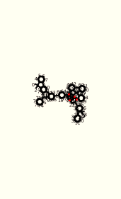 CC1(C)c2ccccc2-c2cc3c4cc(-c5ccc(N(c6ccc(-c7ccc8sc9ccccc9c8c7)cc6)c6cccc7c6C6(c8ccccc8-c8ccccc86)c6ccccc6-7)cc5)ccc4n(-c4ccccc4)c3cc21